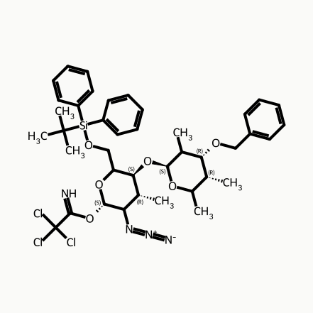 CC1O[C@@H](O[C@@H]2C(CO[Si](c3ccccc3)(c3ccccc3)C(C)(C)C)O[C@@H](OC(=N)C(Cl)(Cl)Cl)C(N=[N+]=[N-])[C@H]2C)C(C)[C@H](OCc2ccccc2)[C@@H]1C